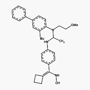 CCC(C)c1cc(-c2ccccc2)ccc1N(CCOC)C(C)Nc1ccc(C(NO)=C2CCC2)cc1